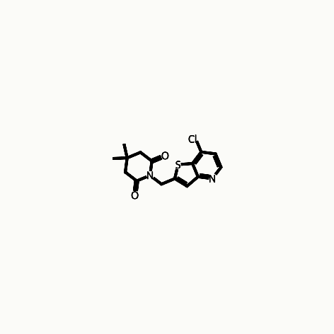 CC1(C)CC(=O)N(Cc2cc3nccc(Cl)c3s2)C(=O)C1